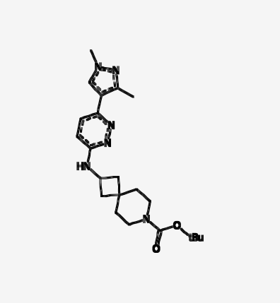 Cc1nn(C)cc1-c1ccc(NC2CC3(CCN(C(=O)OC(C)(C)C)CC3)C2)nn1